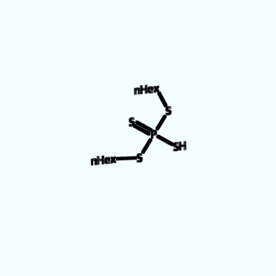 CCCCCCSP(=S)(S)SCCCCCC